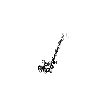 COc1cc2c(cc1-c1cccc(C(=O)NCCOCCOCCOCCOCCOCCOCCN)c1)-c1c(c(C(=O)N(C)C(C)(C)C)nn1-c1cc(Cl)cc(Cl)c1)CO2